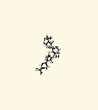 Cc1nn(-c2cc(Nc3c(C)c(-c4ccc(C(F)F)nc4)nn3C)ncn2)c(C)c1C(F)(F)F